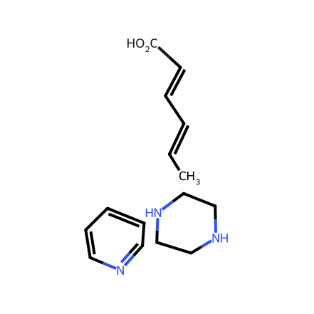 C/C=C/C=C/C(=O)O.C1CNCCN1.c1ccncc1